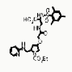 CCOC(=O)N1CC(OCC(=O)NCC(NS(=O)(=O)c2c(C)cc(C)cc2C)C(=O)O)CC1CNc1ccccn1